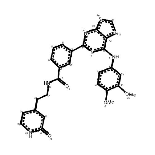 COc1ccc(Nc2nc(-c3cccc(C(=O)NCCc4cc[nH]c(=O)c4)c3)nc3scnc23)cc1OC